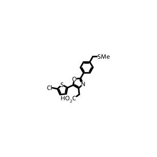 CSCc1ccc(-c2nc(CC(=O)O)c(-c3ccc(Cl)s3)o2)cc1